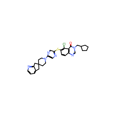 O=c1c2c(Cl)c(Sc3cnc(N4CCC5(CC4)Cc4cccnc4C5)cn3)ccc2ncn1CC1CCCC1